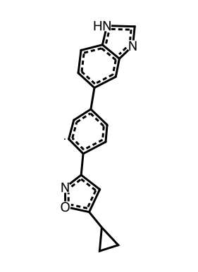 [c]1cc(-c2ccc3[nH]cnc3c2)ccc1-c1cc(C2CC2)on1